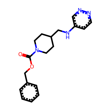 O=C(OCc1ccccc1)N1CCC(CNc2ccnnc2)CC1